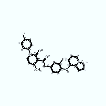 Cc1ccn(-c2ccc(F)cc2)c(=O)c1C(=O)Nc1ccc(Oc2cccn3nccc23)c(F)c1